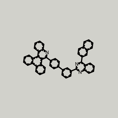 c1cc(-c2ccc(-c3nc4ccccc4c4c5ccccc5c5ccccc5c34)cc2)cc(-c2nc(-c3ccc4ccccc4c3)c3ccccc3n2)c1